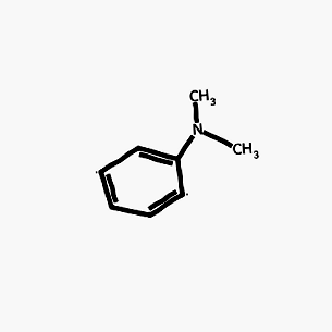 CN(C)c1[c]cc[c]c1